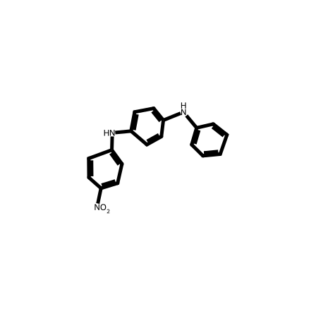 O=[N+]([O-])c1ccc(Nc2ccc(Nc3ccccc3)cc2)cc1